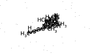 CNCCOCCOCCOc1cc([C@@H](C(=O)N2CCCC2C(N)=O)C(C)CC[C@H](O)c2ccc(-c3scnc3C)cc2OC)on1.Cl